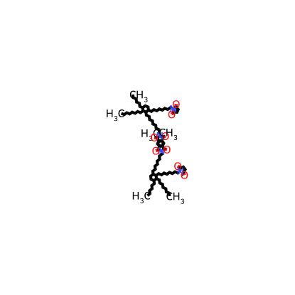 CCCCCCCCC1C(CCCCCC)CCC(CCCCCCCCn2c(=O)c3cc4c(=O)n(C(C)(C)CCCCCCCCC5C(CCCCCCCCN6C(=O)C=CC6=O)CCC(CCCCCC)C5CCCCCCCC)c(=O)c4cc3c2=O)C1CCCCCCCCN1C(=O)C=CC1=O